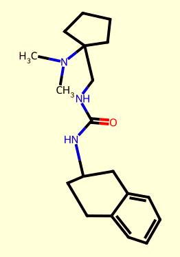 CN(C)C1(CNC(=O)NC2CCc3ccccc3C2)CCCC1